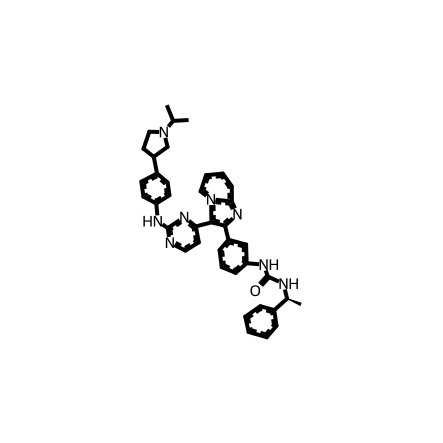 CC(C)N1CCC(c2ccc(Nc3nccc(-c4c(-c5cccc(NC(=O)N[C@@H](C)c6ccccc6)c5)nc5ccccn45)n3)cc2)C1